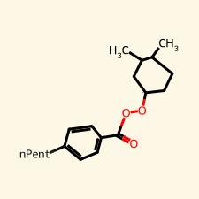 CCCCCc1ccc(C(=O)OO[C]2CCC(C)C(C)C2)cc1